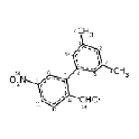 Cc1cc(C)cc(-c2cc([N+](=O)[O-])ccc2[C]=O)c1